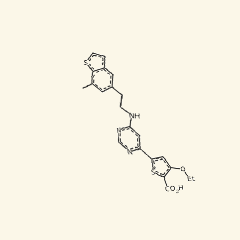 CCOc1cc(-c2cc(NCCc3cc(C)c4sccc4c3)ncn2)sc1C(=O)O